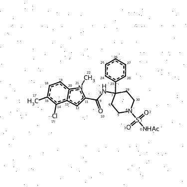 CC(=O)NS(=O)(=O)N1CCC(NC(=O)c2cc3c(Cl)c(C)ccc3n2C)(c2ccccc2)CC1